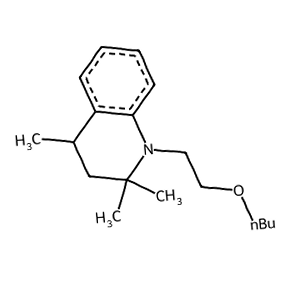 CCCCOCCN1c2ccccc2C(C)CC1(C)C